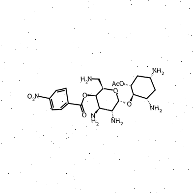 CC(=O)O[C@@H]1C[C@H](N)C[C@H](N)[C@H]1O[C@H]1O[C@H](CN)[C@H](OC(=O)c2ccc([N+](=O)[O-])cc2)[C@H](N)[C@H]1N